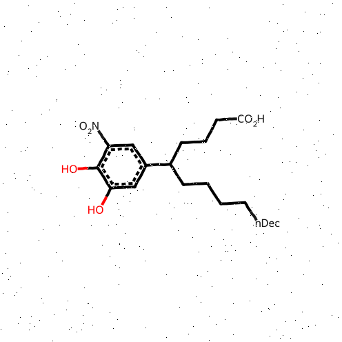 CCCCCCCCCCCCCCC(CCCC(=O)O)c1cc(O)c(O)c([N+](=O)[O-])c1